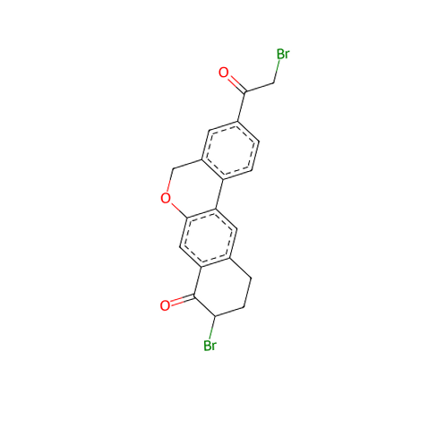 O=C(CBr)c1ccc2c(c1)COc1cc3c(cc1-2)CCC(Br)C3=O